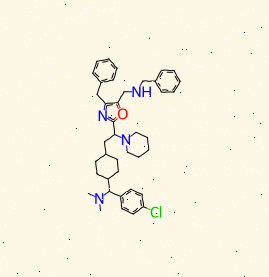 CN(C)C(c1ccc(Cl)cc1)C1CCC(CC(c2nc(Cc3ccccc3)c(CNCc3ccccc3)o2)N2CCCCC2)CC1